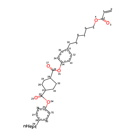 C=CC(=O)OCCCCCCc1ccc(OC(=O)C2CCC(C(=O)Oc3ccc(CCCCCCC)cc3)CC2)cc1